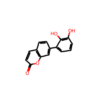 O=c1ccc2ccc(-c3cccc(O)c3O)cc2o1